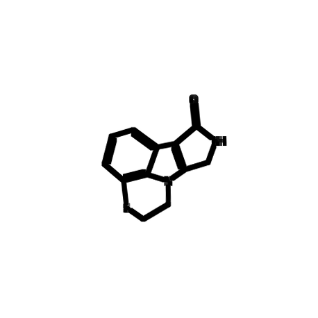 O=C1NCc2c1c1cccc3c1n2CCS3